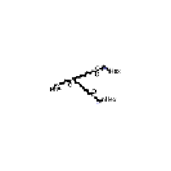 CCCCCC/C=C\COC(=O)CCCCCCCC(CCCCCCCC(=O)OC/C=C\CCCCCC)OC(=O)CCCN1CCNC1